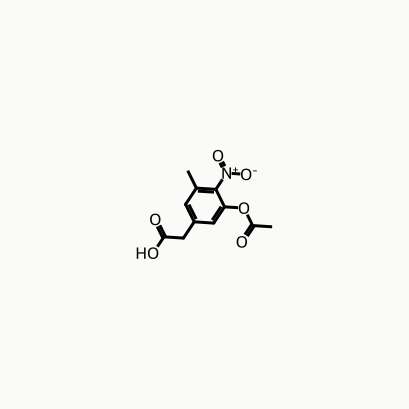 CC(=O)Oc1cc(CC(=O)O)cc(C)c1[N+](=O)[O-]